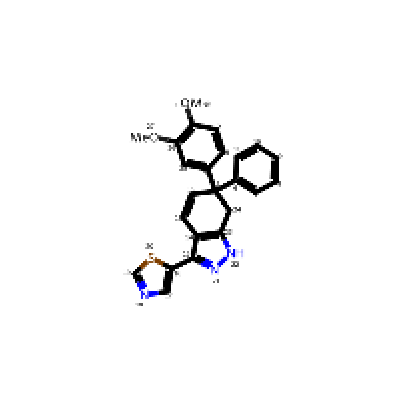 COc1ccc(C2(c3ccccc3)C=Cc3c(-c4cncs4)n[nH]c3C2)cc1OC